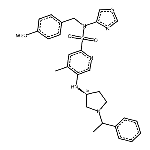 COc1ccc(CN(c2cscn2)S(=O)(=O)c2cc(C)c(N[C@H]3CCN(C(C)c4ccccc4)C3)cn2)cc1